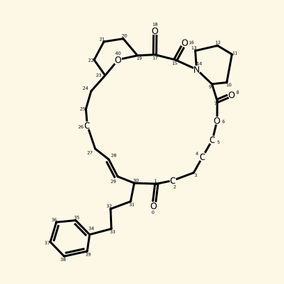 O=C1CCCCOC(=O)C2CCCCN2C(=O)C(=O)C2CCCC(CCCC/C=C/C1CCCc1ccccc1)O2